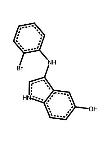 Oc1ccc2[nH]cc(Nc3ccccc3Br)c2c1